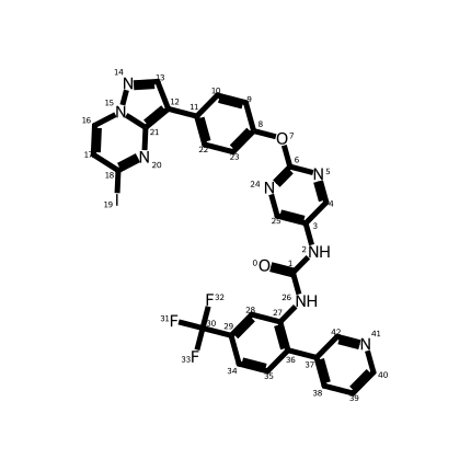 O=C(Nc1cnc(Oc2ccc(-c3cnn4ccc(I)nc34)cc2)nc1)Nc1cc(C(F)(F)F)ccc1-c1cccnc1